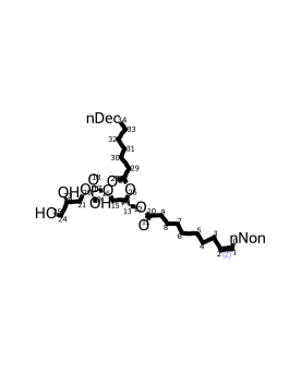 CCCCCCCCC/C=C\CCCCCCCC(=O)OC[C@H](COP(=O)(O)OC[C@@H](O)CO)OC(=O)CCCCCCCCCCCCCCC